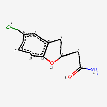 NC(=O)CC1Cc2cc(Cl)ccc2O1